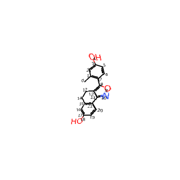 Cc1cc(O)ccc1-c1onc2c1CCc1cc(O)ccc1-2